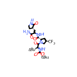 CC(C)(C)OC(=O)NC(C(=O)N1C[C@H](C(F)(F)F)C[C@H]1C(=O)NC(C[C@@H]1CCNC1=O)C(N)=O)C(C)(C)C